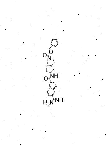 N=C(N)c1ccc2cc(C(=O)Nc3ccc4c(c3)CCN(C(=O)OCc3ccccc3)C4)ccc2c1